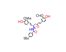 COc1cc(/C=C/C(CC(=O)/C=C/c2ccc(O)c(C=O)c2)=N\NC(=O)c2ccc(C(C)(C)C)cc2)ccc1O